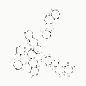 c1ccc2c(c1)ccc1c3cc(-c4c5ccccc5c(-c5ccc6sc7cccc(-c8c9ccccc9c(-c9ccc%10oc%11c%12ccccc%12ccc%11c%10c9)c9ccccc89)c7c6c5)c5ccccc45)ccc3oc21